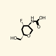 O=C(O)N[C@H]1CO[C@H](CO)C[C@@H]1F